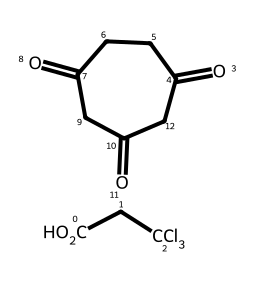 O=C(O)CC(Cl)(Cl)Cl.O=C1CCC(=O)CC(=O)C1